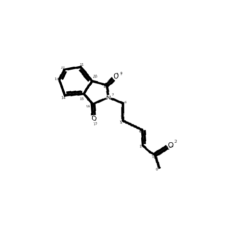 CC(=O)C=CCCN1C(=O)c2ccccc2C1=O